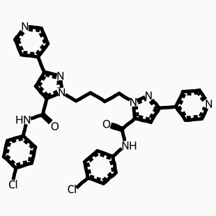 O=C(Nc1ccc(Cl)cc1)c1cc(-c2ccncc2)nn1CCCCn1nc(-c2ccncc2)cc1C(=O)Nc1ccc(Cl)cc1